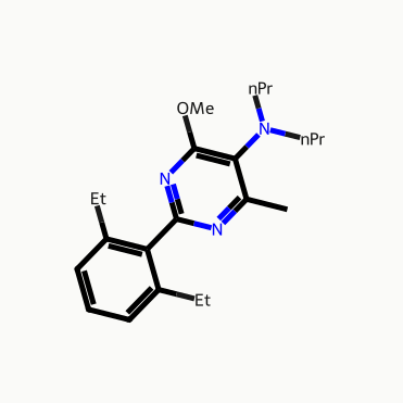 CCCN(CCC)c1c(C)nc(-c2c(CC)cccc2CC)nc1OC